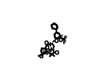 COc1ccc(C2ON2[C@H](COC2(OC(F)(F)F)C=CC(c3ccccc3)=CC2)CN2C(=O)NC(C)(C)C2=O)cc1